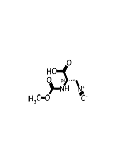 [C-]#[N+]C[C@H](NC(=O)OC)C(=O)O